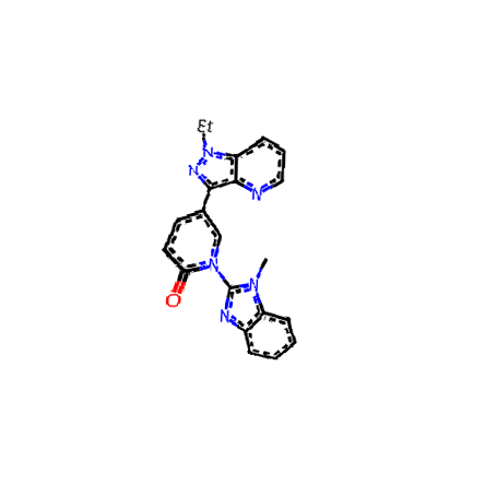 CCn1nc(-c2ccc(=O)n(-c3nc4ccccc4n3C)c2)c2ncccc21